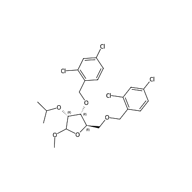 COC1O[C@H](COCc2ccc(Cl)cc2Cl)[C@@H](OCc2ccc(Cl)cc2Cl)[C@H]1OC(C)C